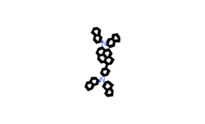 c1ccc2cc(N(c3ccc(-c4ccc5ccc6c(N(c7ccc8ccccc8c7)c7ccc8ccccc8c7)ccc7ccc4c5c76)cc3)c3ccc4ccccc4c3)ccc2c1